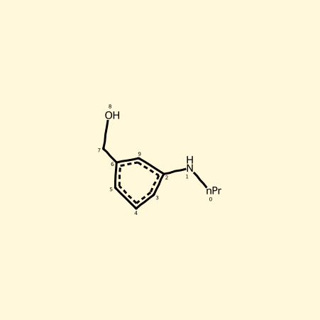 CCCNc1cccc(CO)c1